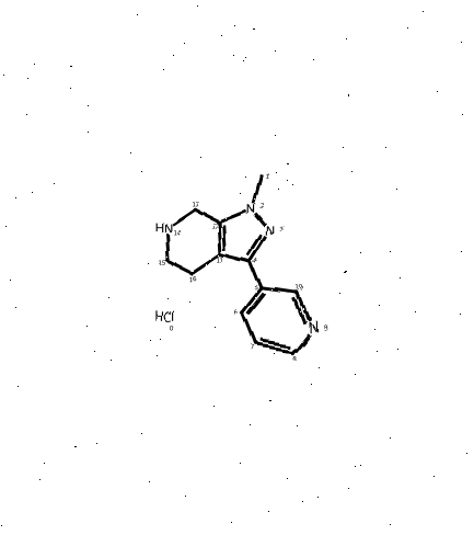 Cl.Cn1nc(-c2cccnc2)c2c1CNCC2